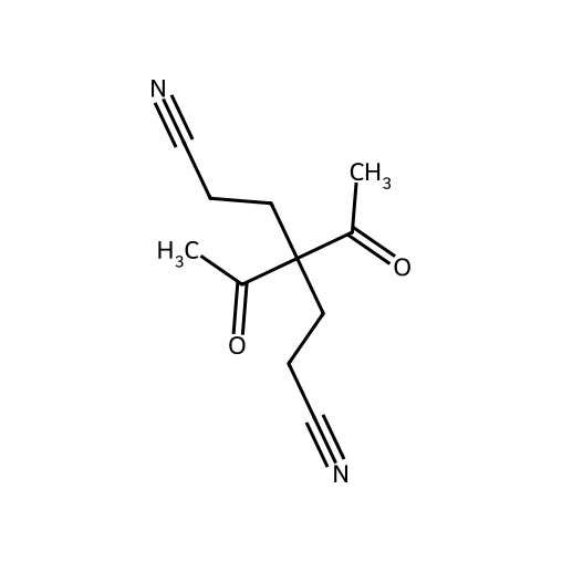 CC(=O)C(CCC#N)(CCC#N)C(C)=O